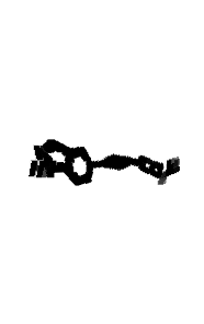 CCOC(=O)/C=C/c1ccc2[nH]ncc2c1